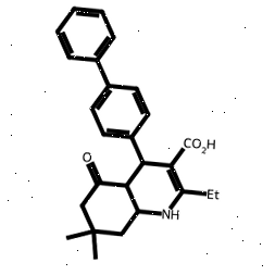 CCC1=C(C(=O)O)C(c2ccc(-c3ccccc3)cc2)C2C(=O)CC(C)(C)CC2N1